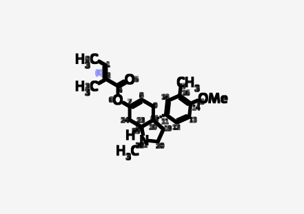 C/C=C(\C)C(=O)OC1=CC[C@@]2(c3ccc(OC)c(C)c3)CCN(C)[C@H]2C1